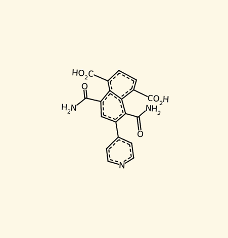 NC(=O)c1cc(-c2ccncc2)c(C(N)=O)c2c(C(=O)O)ccc(C(=O)O)c12